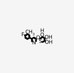 Cc1cc(-c2cncc(O[C@H]3SC[C@@H](O)[C@H](O)[C@H]3O)c2)ccc1F